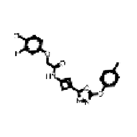 Cc1ccc(Oc2nnc(C34CC(NC(=O)COc5ccc(Cl)c(F)c5)(C3)C4)o2)cc1